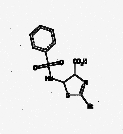 CCC1=NC(C(=O)O)C(NS(=O)(=O)c2ccccc2)S1